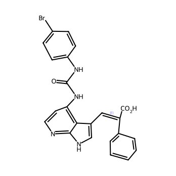 O=C(Nc1ccc(Br)cc1)Nc1ccnc2[nH]cc(/C=C(/C(=O)O)c3ccccc3)c12